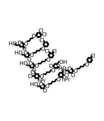 CCCc1c(OCCCCCOc2coc(CO)cc2=O)ccc(Cl)c1Cl.CCCc1cc(Cl)c(Cl)cc1OCCCCCOc1coc(CO)cc1=O.O=c1cc(CO)occ1OCCCCCOc1ccc(Cl)c(Cl)c1.O=c1cc(CO)occ1OCCCCCOc1ccc(Cl)cc1.O=c1cc(CO)occ1OCCCCCOc1cccc(Cl)c1.O=c1cc(CO)occ1OCCCCOc1ccc(Cl)c(Cl)c1